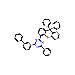 c1ccc(-c2cccc(-c3nc(-c4ccccc4)nc(-c4cccc5c4Sc4ccccc4C5(c4ccccc4)c4ccccc4)n3)c2)cc1